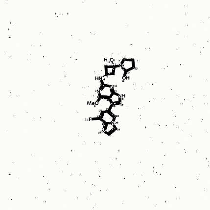 COc1nc(N[C@H]2C[C@](C)(N3CCCC3O)C2)nc2[nH]cc(-c3cc(F)c4nccn4c3)c12